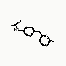 CC(=O)Nc1ccc(Cc2cccc(C)n2)cc1